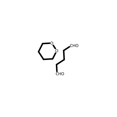 C1CCOOC1.O=CCCCC=O